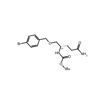 CC(C)(C)OC(=O)N[C@@H](CCC(N)=O)COCc1ccc(Br)cc1